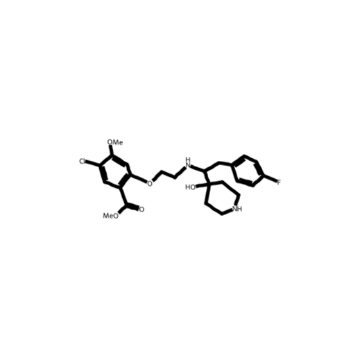 COC(=O)c1cc(Cl)c(OC)cc1OCCNC(Cc1ccc(F)cc1)C1(O)CCNCC1